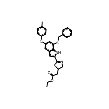 CCOC(=O)CC1CN=C(c2cc3cc(Oc4ccc(C)cc4)cc(OCc4ccccc4)c3[nH]2)S1